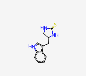 S=C1NC[C@H](Cc2c[nH]c3ccccc23)N1